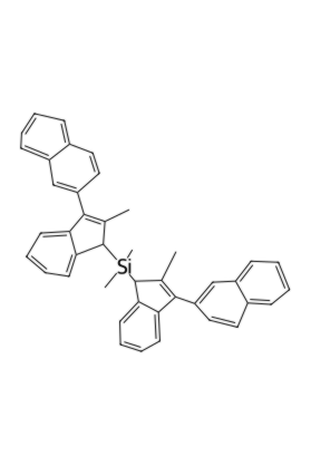 CC1=C(c2ccc3ccccc3c2)c2ccccc2C1[Si](C)(C)C1C(C)=C(c2ccc3ccccc3c2)c2ccccc21